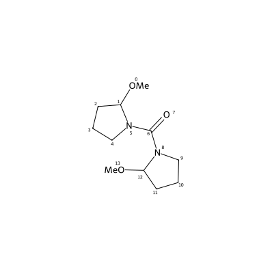 COC1CCCN1C(=O)N1CCCC1OC